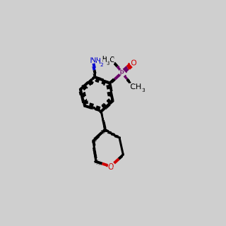 CP(C)(=O)c1cc(C2CCOCC2)ccc1N